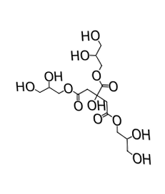 O=C(CC(O)(CC(=O)OCC(O)CO)C(=O)OCC(O)CO)OCC(O)CO